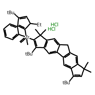 Cl.Cl.[CH2]=[Zr]([CH3])([C]1=CC(C(C)(C)C)=CC1CC)([C]1=C(C(C)(C)C)c2cc3c(cc2C1(C)C)Cc1cc2c(cc1-3)C(C(C)(C)C)=CC2(C)C)[c]1ccccc1